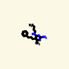 CCCCNc1nc(N)nc(C)c1CCCc1ccccc1